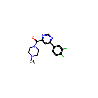 CN1CCN(C(=O)c2cc(-c3ccc(Cl)c(Cl)c3)ncn2)CC1